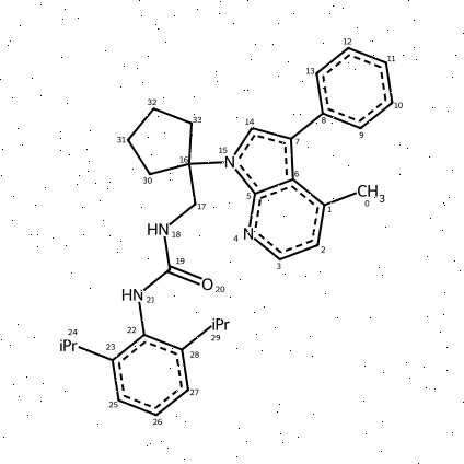 Cc1ccnc2c1c(-c1ccccc1)cn2C1(CNC(=O)Nc2c(C(C)C)cccc2C(C)C)CCCC1